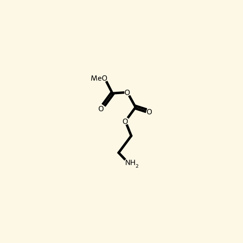 COC(=O)OC(=O)OCCN